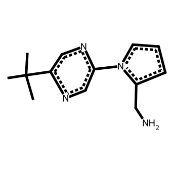 CC(C)(C)c1cnc(-n2cccc2CN)cn1